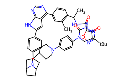 Cc1cc(-c2ncnc3[nH]c(-c4ccc(C5CC6CCC(C5)N6CC5CCN(c6ccc(N7CCC(=O)NC7=O)cc6)CC5)cc4)cc23)ccc1C(C)NC(=O)c1nc(C(C)(C)C)no1